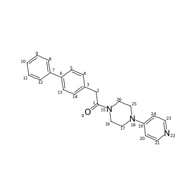 O=C(Cc1ccc(-c2ccccc2)cc1)N1CCN(c2ccncc2)CC1